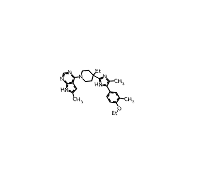 CCOc1ccc(-c2[nH]c(C3(CC)CCN(c4ncnc5[nH]c(C)cc45)CC3)nc2C)cc1C